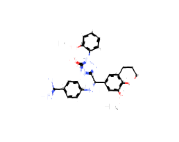 COc1ccccc1-n1nc(C(Nc2ccc(C(=N)N)cc2)c2cc3c(c(OC)c2)OCCC3)[nH]c1=O